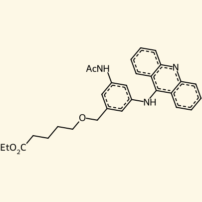 CCOC(=O)CCCCOCc1cc(NC(C)=O)cc(Nc2c3ccccc3nc3ccccc23)c1